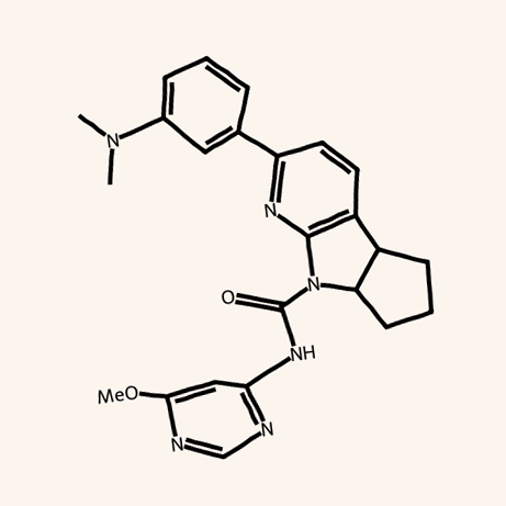 COc1cc(NC(=O)N2c3nc(-c4cccc(N(C)C)c4)ccc3C3CCCC32)ncn1